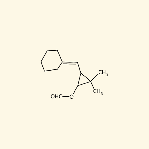 CC1(C)C(C=C2CCCCC2)C1OC=O